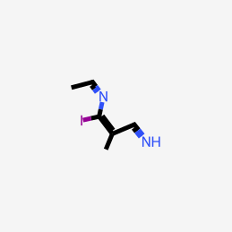 C/C=N\C(I)=C(\C)C=N